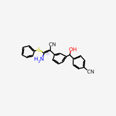 N#C/C(=C(/N)Sc1ccccc1)c1cccc(C(O)c2ccc(C#N)cc2)c1